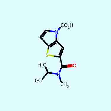 CC(N(C)C(=O)c1cc2c(ccn2C(=O)O)s1)C(C)(C)C